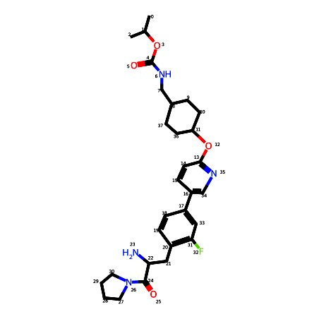 CC(C)OC(=O)NCC1CCC(Oc2ccc(-c3ccc(CC(N)C(=O)N4CCCC4)c(F)c3)cn2)CC1